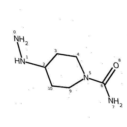 NNC1CCN(C(N)=O)CC1